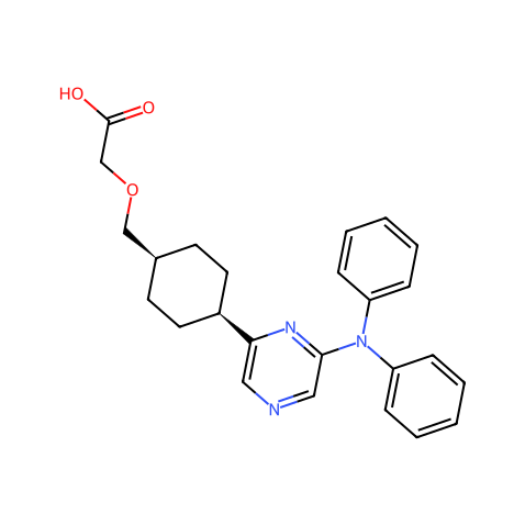 O=C(O)COC[C@H]1CC[C@@H](c2cncc(N(c3ccccc3)c3ccccc3)n2)CC1